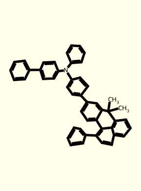 CC1(C)c2cc(-c3ccc(N(c4ccccc4)c4ccc(-c5ccccc5)cc4)cc3)ccc2-c2c(-c3ccccc3)ccc3cccc1c23